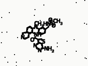 CN(c1cccc(CNS(C)(=O)=O)c1)c1ccc2cnccc2c1NC(=O)c1csc2c(N)ncnc12